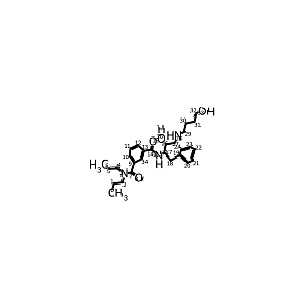 CCCN(CCC)C(=O)c1cccc(C(=O)NC(Cc2ccccc2)[C@H](O)CNCCCCO)c1